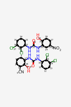 N#Cc1cccc(NC(=O)Nc2cccc(Cl)c2Cl)c1O.O=C(Nc1cc([N+](=O)[O-])ccc1O)Nc1cccc(Cl)c1Cl